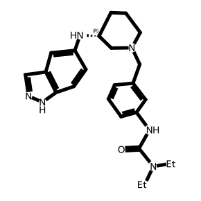 CCN(CC)C(=O)Nc1cccc(CN2CCC[C@@H](Nc3ccc4[nH]ncc4c3)C2)c1